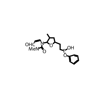 CNC(=O)N(/C=C\C=O)C1OC(CCP(O)Oc2ccccc2)CC1C